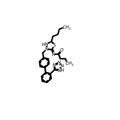 CCCCC1NN(Cc2ccc(-c3ccccc3-c3nnn[nH]3)cc2)C(=NC(=O)CCC)S1